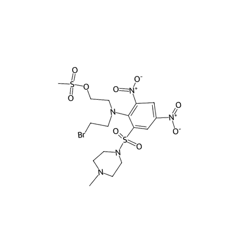 CN1CCN(S(=O)(=O)c2cc([N+](=O)[O-])cc([N+](=O)[O-])c2N(CCBr)CCOS(C)(=O)=O)CC1